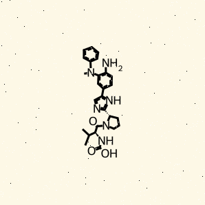 CC(C)[C@H](NC(=O)O)C(=O)N1CCC[C@H]1c1ncc(-c2ccc(N)c(N(C)c3ccccc3)c2)[nH]1